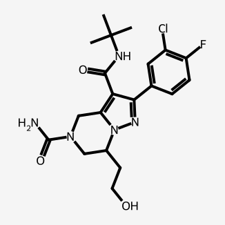 CC(C)(C)NC(=O)c1c(-c2ccc(F)c(Cl)c2)nn2c1CN(C(N)=O)CC2CCO